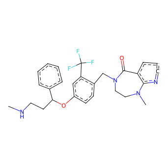 CNCCC(Oc1ccc(CN2CCN(C)c3ncccc3C2=O)c(C(F)(F)F)c1)c1ccccc1